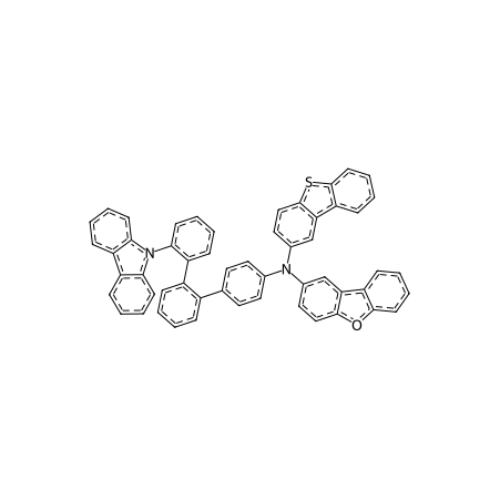 c1ccc(-c2ccccc2-n2c3ccccc3c3ccccc32)c(-c2ccc(N(c3ccc4oc5ccccc5c4c3)c3ccc4sc5ccccc5c4c3)cc2)c1